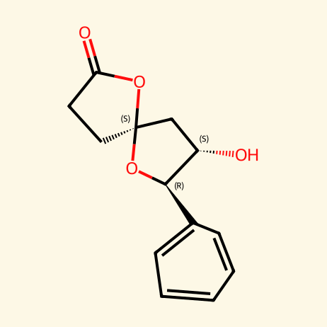 O=C1CC[C@@]2(C[C@H](O)[C@@H](c3ccccc3)O2)O1